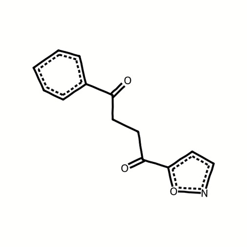 O=C(CCC(=O)c1ccno1)c1ccccc1